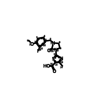 COc1ccc(CN2CCN(c3nc(C)c(C(=O)O)s3)C2=O)cc1F